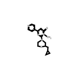 Cn1c(N2CCOC(CC3CC3)C2)nc(-c2ccncc2)cc1=O